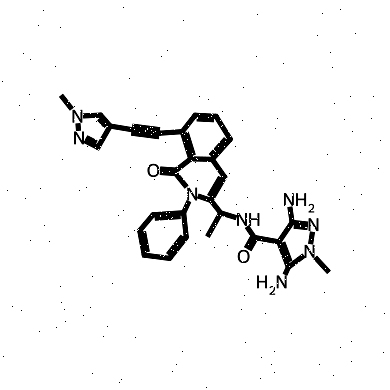 CC(NC(=O)c1c(N)nn(C)c1N)c1cc2cccc(C#Cc3cnn(C)c3)c2c(=O)n1-c1ccccc1